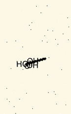 CCCCCCCCCCCC[C@H](O)[C@H](O)CC(=O)O